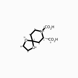 O=C(O)[C@@H]1CC2(CCN1C(=O)O)OCCO2